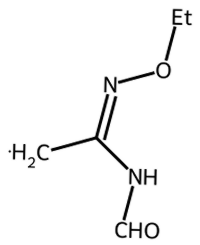 [CH2]C(=NOCC)NC=O